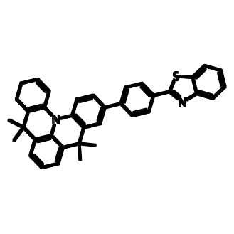 CC1(C)C2=C(C=CCC2)N2c3ccc(-c4ccc(-c5nc6ccccc6s5)cc4)cc3C(C)(C)c3cccc1c32